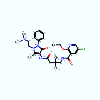 CCOc1ncc(Cl)cc1C(=O)NCC(C)(C)CC(=O)Nc1c(C)n(CCN(C)C)n(-c2ccccc2)c1=O